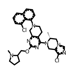 C[C@@H]1Cn2cnc(Cl)c2CN1c1nc(OCC2CCCN2C)nc2c1CCN(c1cccc3cccc(Cl)c13)C2